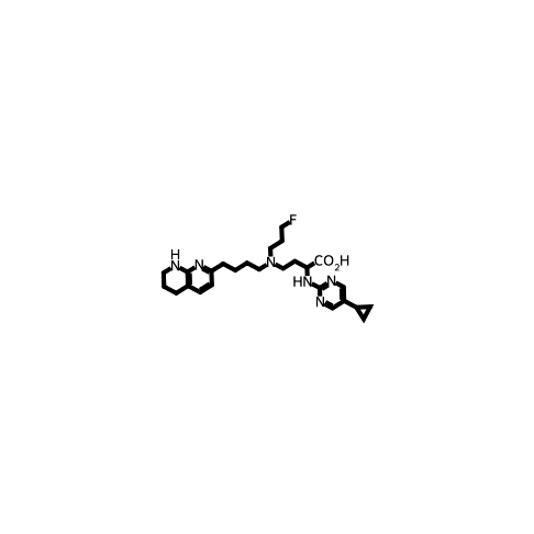 O=C(O)C(CCN(CCCF)CCCCc1ccc2c(n1)NCCC2)Nc1ncc(C2CC2)cn1